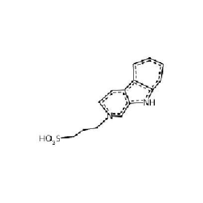 O=S(=O)(O)CCC[n+]1ccc2c(c1)[nH]c1ccccc12